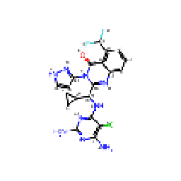 Nc1nc(N)c(Cl)c(N[C@H](c2nc3cccc(C(F)F)c3c(=O)n2-c2cc[nH]n2)C2CC2)n1